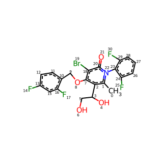 Cc1c(C(O)CO)c(OCc2ccc(F)cc2F)c(Br)c(=O)n1-c1c(F)cccc1F